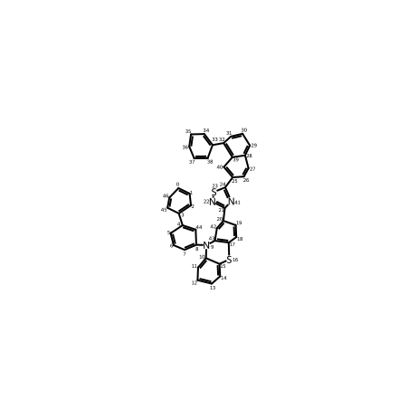 c1ccc(-c2cccc(N3c4ccccc4Sc4ccc(-c5nsc(-c6ccc7cccc(-c8ccccc8)c7c6)n5)cc43)c2)cc1